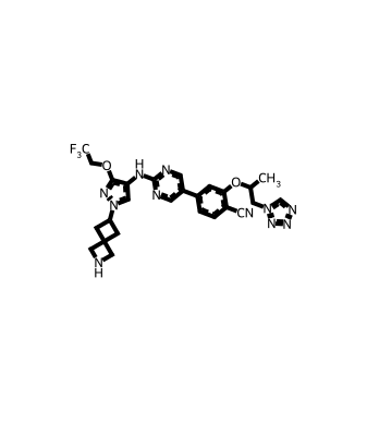 CC(Cn1cnnn1)Oc1cc(-c2cnc(Nc3cn(C4CC5(CNC5)C4)nc3OCC(F)(F)F)nc2)ccc1C#N